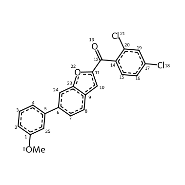 COc1cccc(-c2ccc3cc(C(=O)c4ccc(Cl)cc4Cl)oc3c2)c1